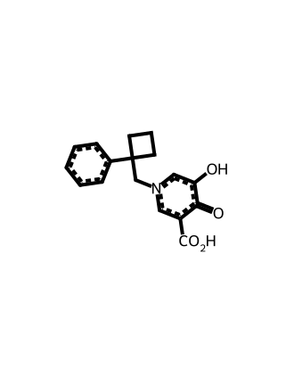 O=C(O)c1cn(CC2(c3ccccc3)CCC2)cc(O)c1=O